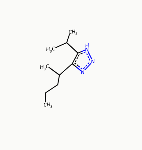 CCCC(C)c1nn[nH]c1C(C)C